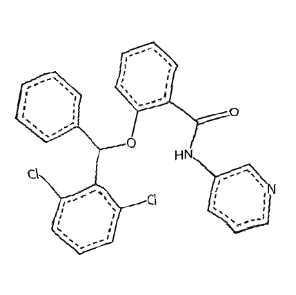 O=C(Nc1cccnc1)c1ccccc1OC(c1ccccc1)c1c(Cl)cccc1Cl